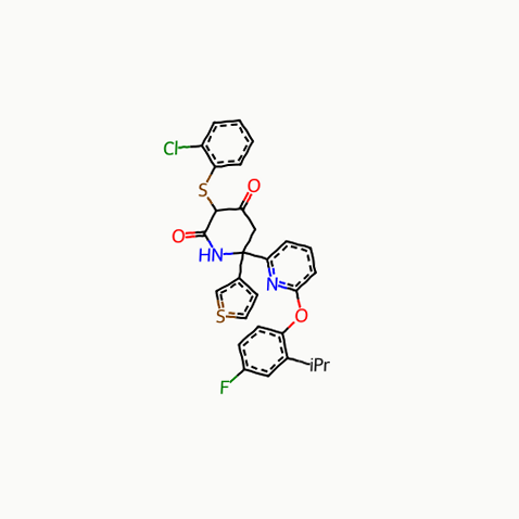 CC(C)c1cc(F)ccc1Oc1cccc(C2(c3ccsc3)CC(=O)C(Sc3ccccc3Cl)C(=O)N2)n1